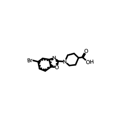 O=C(O)C1CCN(c2nc3cc(Br)ccc3o2)CC1